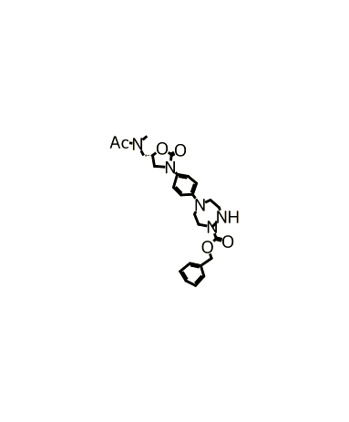 CC(=O)N(C)C[C@H]1CN(c2ccc(N3CCNN(C(=O)OCc4ccccc4)CC3)cc2)C(=O)O1